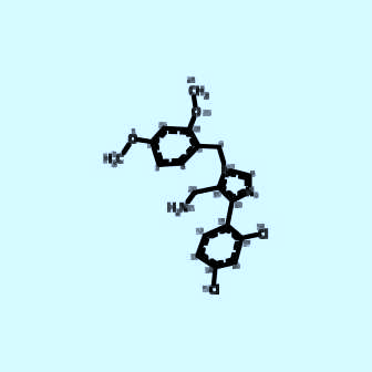 COc1ccc(Cn2cnc(-c3ccc(Cl)cc3Cl)c2CN)c(OC)c1